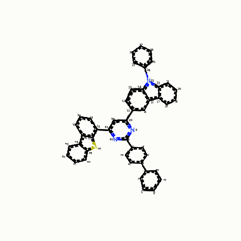 c1ccc(-c2ccc(-c3nc(-c4ccc5c(c4)c4ccccc4n5-c4ccccc4)cc(-c4cccc5c4sc4ccccc45)n3)cc2)cc1